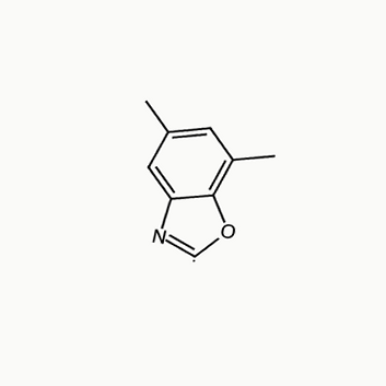 Cc1cc(C)c2o[c]nc2c1